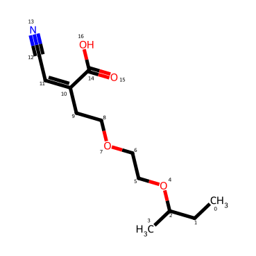 CCC(C)OCCOCCC(=CC#N)C(=O)O